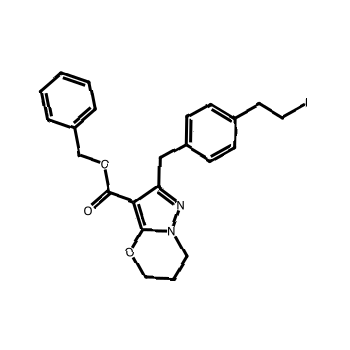 O=C(OCc1ccccc1)c1c(Cc2ccc(CCI)cc2)nn2c1OCCC2